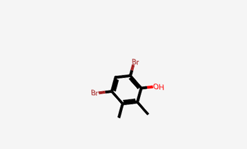 Cc1c(Br)cc(Br)c(O)c1C